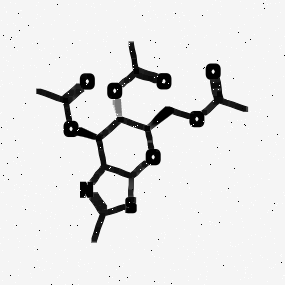 CC(=O)OC[C@H]1OC2SC(C)=NC2[C@@H](OC(C)=O)[C@@H]1OC(C)=O